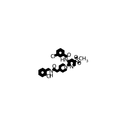 CS(=O)(=O)c1cnc(N2CCC(CC(=O)NCc3ccccc3Cl)CC2)c(NC(=O)c2cccc(Cl)c2)c1